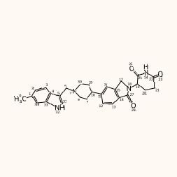 Cc1ccc2c(CN3CCC(c4ccc5c(c4)CN(C4CCC(=O)NC4=O)C5=O)CC3)c[nH]c2c1